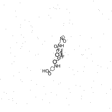 O=C(C=Cc1ccc(Sc2cccc(NC3CCC(C(=O)O)CC3)c2)c(C(F)(F)F)c1C(F)(F)F)NCCCN1CCCC1=O